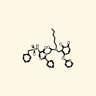 CCCCCCN(CC1=C(Oc2ccccn2)C=CC(=O)C1=O)C(=O)Cn1c(-c2ccccc2)ncc(NS(=O)(=O)Cc2ccccc2)c1=O